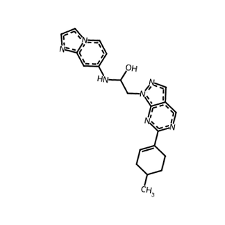 CC1CC=C(c2ncc3cnn(CC(O)Nc4ccn5ccnc5c4)c3n2)CC1